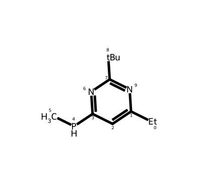 CCc1cc(PC)nc(C(C)(C)C)n1